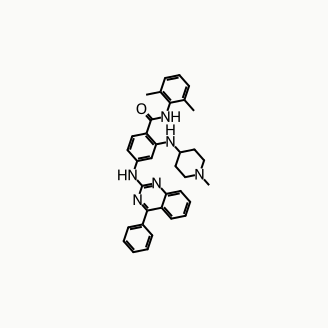 Cc1cccc(C)c1NC(=O)c1ccc(Nc2nc(-c3ccccc3)c3ccccc3n2)cc1NC1CCN(C)CC1